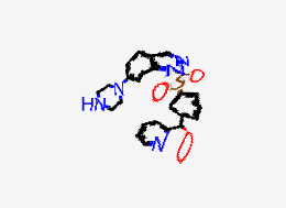 O=C(c1cccc(S(=O)(=O)n2ncc3ccc(N4CCNCC4)cc32)c1)c1ccccn1